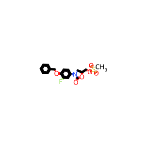 CS(=O)(=O)OCC1CN(c2ccc(OCc3ccccc3)c(F)c2)C(=O)O1